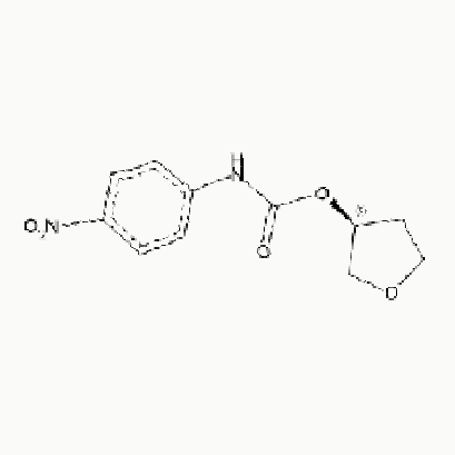 O=C(Nc1ccc([N+](=O)[O-])cc1)O[C@H]1CCOC1